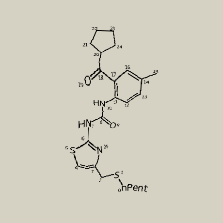 CCCCCSCc1csc(NC(=O)Nc2ccc(C)cc2C(=O)C2CCCC2)n1